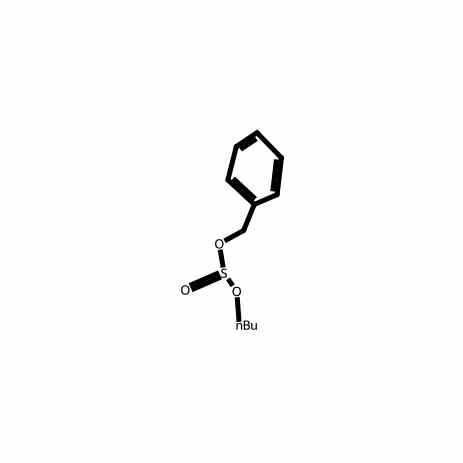 CCCCOS(=O)OCc1ccccc1